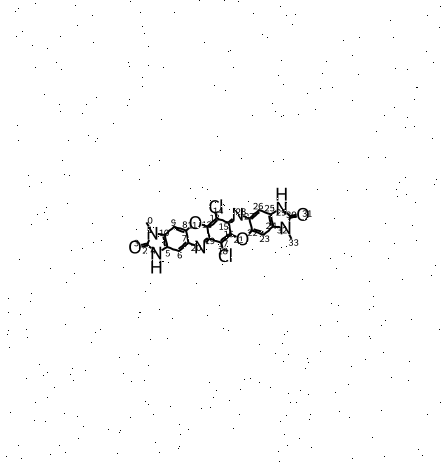 Cn1c(=O)[nH]c2cc3c(cc21)Oc1c(Cl)c2c(c(Cl)c1=N3)Oc1cc3c(cc1N=2)[nH]c(=O)n3C